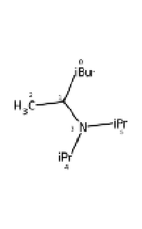 CC[C](C)C(C)N(C(C)C)C(C)C